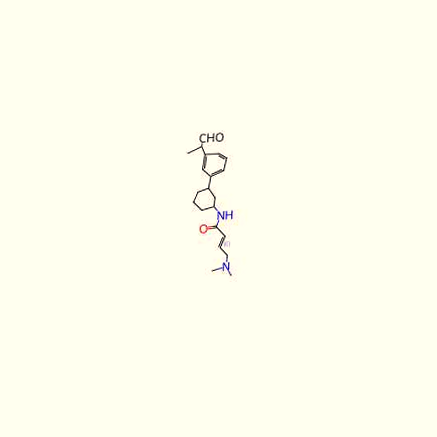 CC(C=O)c1cccc(C2CCCC(NC(=O)/C=C/CN(C)C)C2)c1